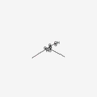 CCCCCCCCCCCCCCCCCC(=O)OCC(COC(=O)CCCCC(=O)O)OC(=O)C(O)CCCCCCCCCCCCCCCC